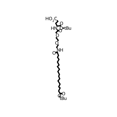 CC(C)(C)OC(=O)CCCCCCCCCCCCCCCCC(=O)NCCOCCOCC(=O)NC(CCC(=O)O)C(=O)OC(C)(C)C